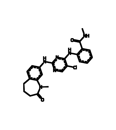 CNC(=O)c1ccccc1Nc1nc(Nc2ccc3c(c2)N(C)C(=O)CCC3)ncc1Cl